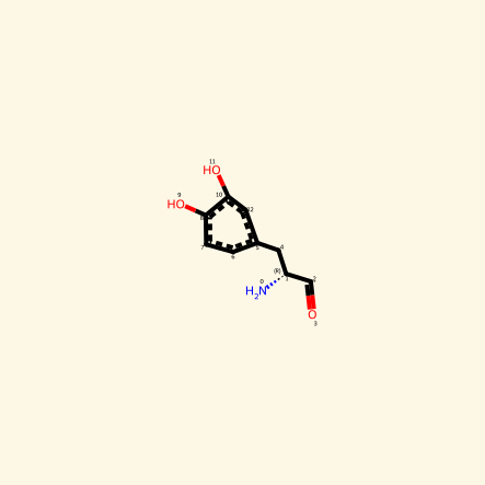 N[C@@H]([C]=O)Cc1ccc(O)c(O)c1